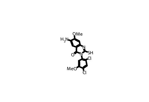 COc1cc2nc(S)n(-c3cc(OC)c(Cl)cc3Cl)c(=O)c2cc1N